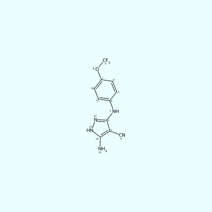 N#Cc1c(Nc2ccc(OC(F)(F)F)cc2)n[nH]c1N